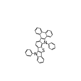 c1ccc(-n2c3ccccc3c3sc4c(ccc5c6c7ccccc7c7ccccc7c6n(-c6ccccc6)c54)c32)cc1